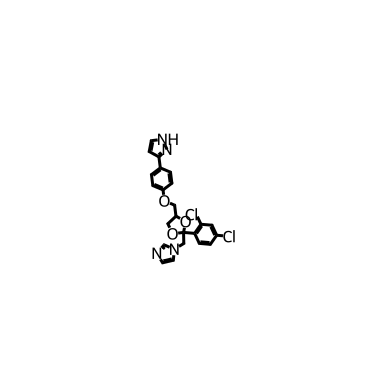 Clc1ccc(C2(Cn3ccnc3)OCC(COc3ccc(-c4cc[nH]n4)cc3)O2)c(Cl)c1